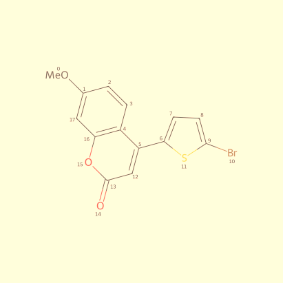 COc1ccc2c(-c3ccc(Br)s3)cc(=O)oc2c1